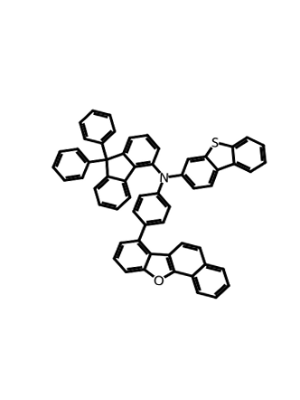 c1ccc(C2(c3ccccc3)c3ccccc3-c3c(N(c4ccc(-c5cccc6oc7c8ccccc8ccc7c56)cc4)c4ccc5c(c4)sc4ccccc45)cccc32)cc1